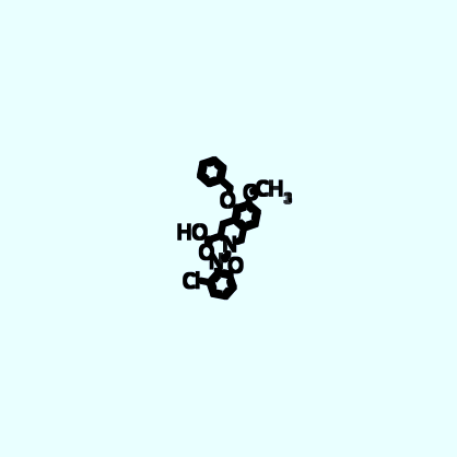 COc1ccc2c(c1OCc1ccccc1)CC(C(=O)O)N(c1nc3c(Cl)cccc3o1)C2